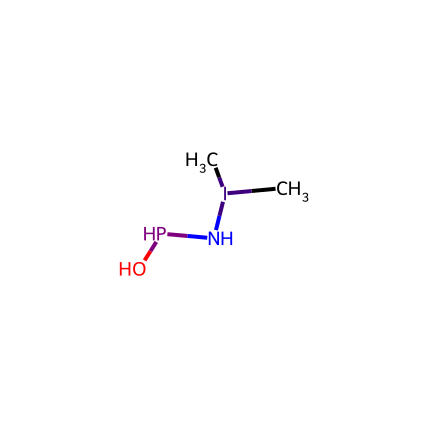 CI(C)NPO